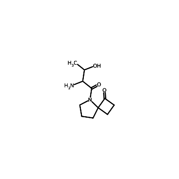 CC(O)C(N)C(=O)N1CCCC12CCC2=O